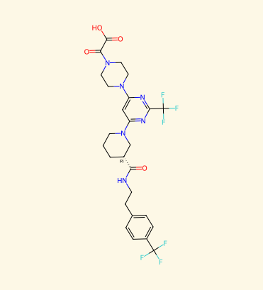 O=C(O)C(=O)N1CCN(c2cc(N3CCC[C@@H](C(=O)NCCc4ccc(C(F)(F)F)cc4)C3)nc(C(F)(F)F)n2)CC1